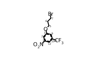 O=[N+]([O-])c1cc(OCCCBr)cc(C(F)(F)F)c1